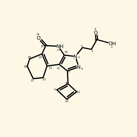 O=C(O)CCn1nc(C2=CC=C2)c2c3c(c(=O)[nH]c21)CCCC3